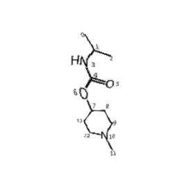 CC(C)NC(=O)OC1CCN(C)CC1